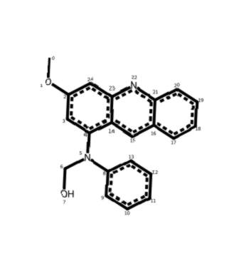 COc1cc(N(CO)c2ccccc2)c2cc3ccccc3nc2c1